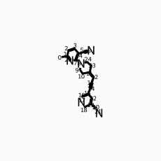 Cc1ccc(C#N)c(N2CCC(=CC#Cc3cncc(C#N)c3)CC2)n1